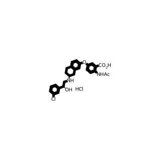 CC(=O)Nc1ccc(Oc2ccc3c(c2)C[C@@H](NC[C@H](O)c2cccc(Cl)c2)CC3)cc1C(=O)O.Cl